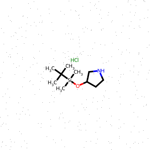 CC(C)(C)[Si](C)(C)OC1CCNC1.Cl